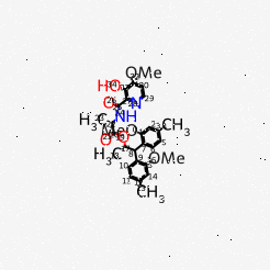 COc1cc(C)ccc1C(c1ccc(C)cc1OC)[C@H](C)OC(=O)[C@H](C)NC(=O)c1nccc(OC)c1O